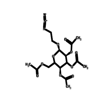 CC(=O)OCC1O[C@@H](OCCN=[N+]=[N-])[C@@H](OC(C)=O)C(OC(C)=O)[C@H]1OC(C)=O